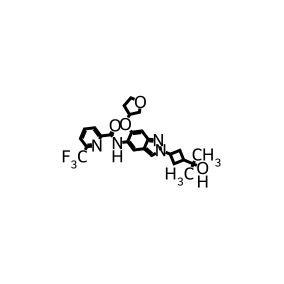 CC(C)(O)C1CC(n2cc3cc(NC(=O)c4cccc(C(F)(F)F)n4)c(OC4CCOC4)cc3n2)C1